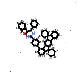 c1ccc(-c2nc(-c3ccc(-c4cccc5c4-c4cc6c(cc4C54CCCCC4)-c4ccccc4C64CCCCC4)cc3)nc3oc4ccccc4c23)cc1